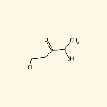 CC(S)C(=O)CCCl